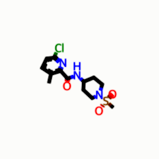 Cc1ccc(Cl)nc1C(=O)NC1CCN(S(C)(=O)=O)CC1